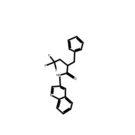 O=C(Nc1cnc2ccccc2c1)C(Cc1ccccc1)CC(F)(F)F